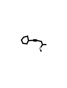 COC(C)CC#CC1CC[CH]CC1